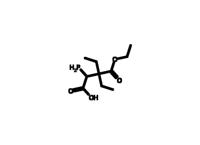 CCOC(=O)C(CC)(CC)C(P)C(=O)O